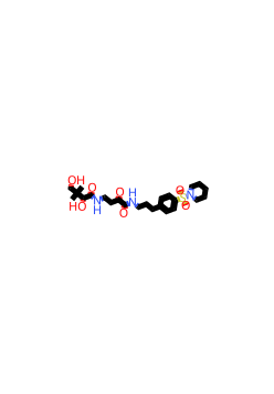 CC(C)(CO)C(O)C(=O)NCCC(=O)C(=O)NCCCc1ccc(S(=O)(=O)N2CCCCC2)cc1